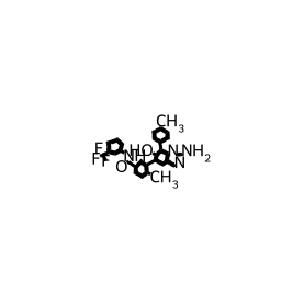 Cc1ccc(-c2c(O)c(-c3cc(C(=O)Nc4cccc(C(F)(F)F)c4)ccc3C)cc3cnc(N)nc23)cc1